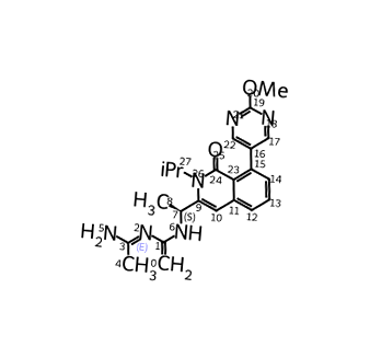 C=C(/N=C(\C)N)N[C@@H](C)c1cc2cccc(-c3cnc(OC)nc3)c2c(=O)n1C(C)C